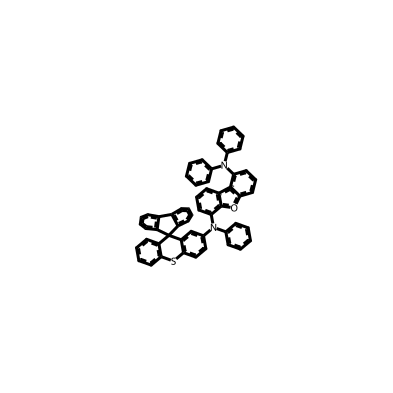 c1ccc(N(c2ccc3c(c2)C2(c4ccccc4S3)c3ccccc3-c3ccccc32)c2cccc3c2oc2cccc(N(c4ccccc4)c4ccccc4)c23)cc1